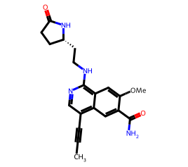 CC#Cc1cnc(NCC[C@@H]2CCC(=O)N2)c2cc(OC)c(C(N)=O)cc12